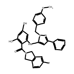 COc1ccc(Cn2nc(-c3ccccc3)cc2Nc2cc(O)cc(O)c2C(=O)N2Cc3ccc(F)cc3C2)cc1